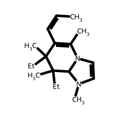 C/C=C\C1=C(C)N2C=CN(C)C2C(C)(CC)C1(C)CC